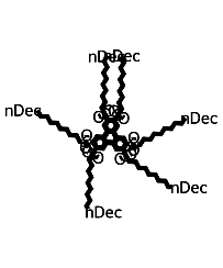 CCCCCCCCCCCCCCCCCCCS(=O)(=O)c1cc2c3cc(S(=O)(=O)CCCCCCCCCCCCCCCCCCC)c(S(=O)(=O)CCCCCCCCCCCCCCCCCCC)cc3c3cc(S(=O)(=O)CCCCCCCCCCCCCCCCCCC)c(S(=O)(=O)CCCCCCCCCCCCCCCCCCC)cc3c2cc1S(=O)(=O)CCCCCCCCCCCCCCCCCCC